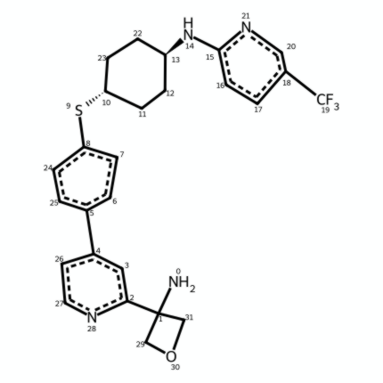 NC1(c2cc(-c3ccc(S[C@H]4CC[C@H](Nc5ccc(C(F)(F)F)cn5)CC4)cc3)ccn2)COC1